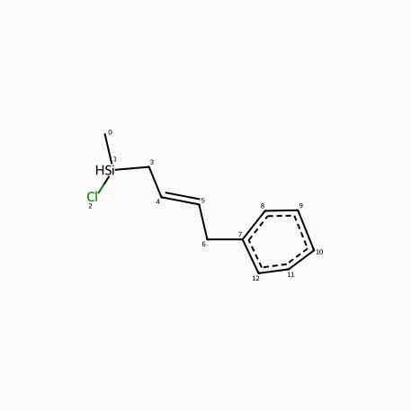 C[SiH](Cl)CC=CCc1ccccc1